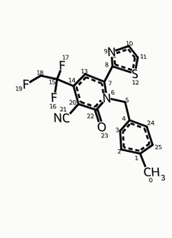 Cc1ccc(Cn2c(-c3nccs3)cc(C(F)(F)CF)c(C#N)c2=O)cc1